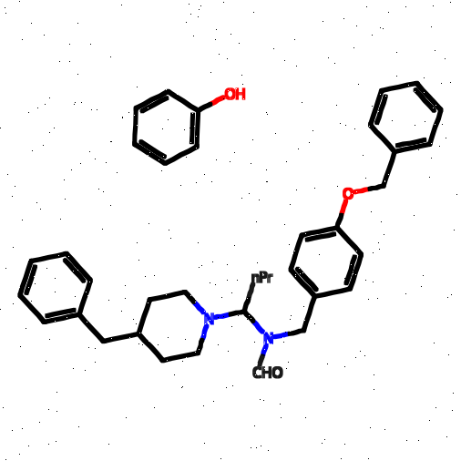 CCCC(N(C=O)Cc1ccc(OCc2ccccc2)cc1)N1CCC(Cc2ccccc2)CC1.Oc1ccccc1